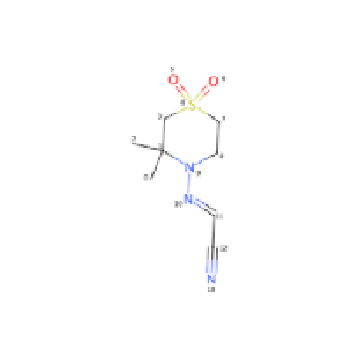 CC1(C)CS(=O)(=O)CCN1N=CC#N